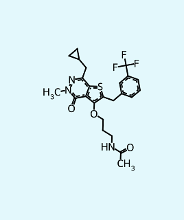 CC(=O)NCCCOc1c(Cc2cccc(C(F)(F)F)c2)sc2c(CC3CC3)nn(C)c(=O)c12